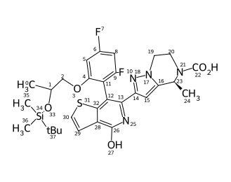 CC(COc1cc(F)cc(F)c1-c1c(-c2cc3n(n2)CCN(C(=O)O)[C@H]3C)nc(O)c2ccsc12)O[Si](C)(C)C(C)(C)C